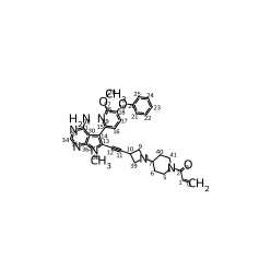 C=CC(=O)N1CCC(N2CC(C#Cc3c(-c4ccc(Oc5ccccc5)c(OC)n4)c4c(N)ncnc4n3C)C2)CC1